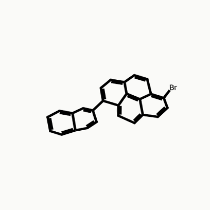 Brc1ccc2ccc3c(-c4ccc5ccccc5c4)ccc4ccc1c2c43